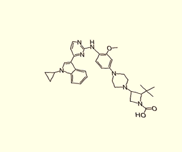 COc1cc(N2CCN(C3CN(C(=O)O)C3C(C)(C)C)CC2)ccc1Nc1nccc(-c2cn(C3CC3)c3ccccc23)n1